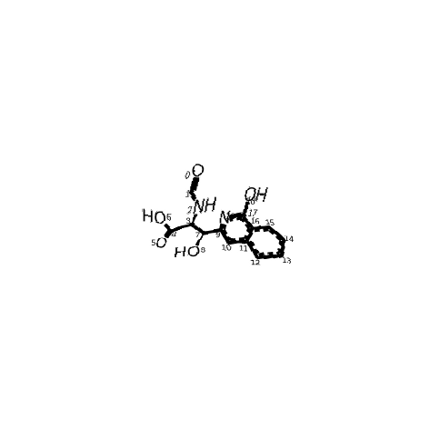 O=CN[C@H](C(=O)O)[C@H](O)c1cc2ccccc2c(O)n1